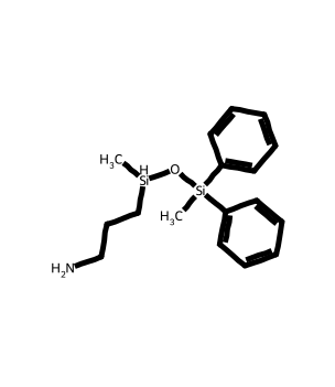 C[SiH](CCCN)O[Si](C)(c1ccccc1)c1ccccc1